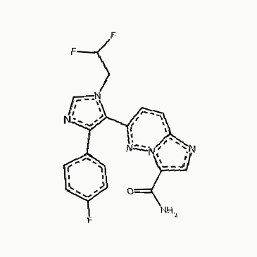 NC(=O)c1cnc2ccc(-c3c(-c4ccc(F)cc4)ncn3CC(F)F)nn12